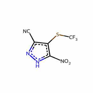 N#Cc1n[nH]c([N+](=O)[O-])c1SC(F)(F)F